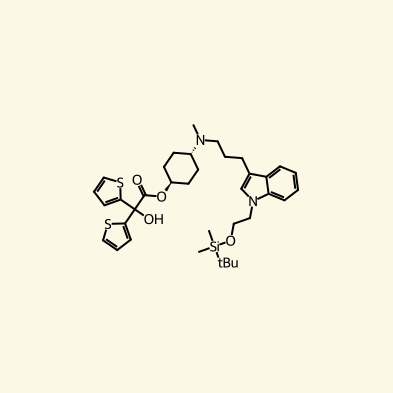 CN(CCCc1cn(CCO[Si](C)(C)C(C)(C)C)c2ccccc12)[C@H]1CC[C@H](OC(=O)C(O)(c2cccs2)c2cccs2)CC1